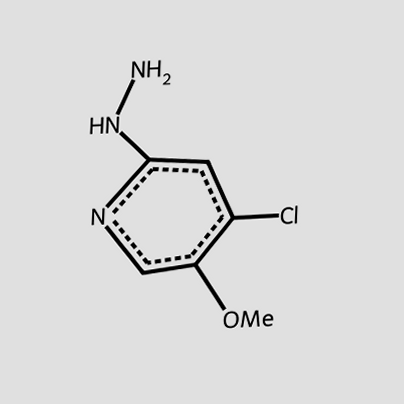 COc1cnc(NN)cc1Cl